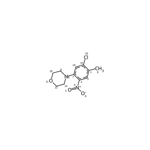 Cc1cc([N+](=O)[O-])c(N2CCOCC2)cc1Cl